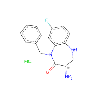 Cl.N[C@H]1CNc2ccc(F)cc2N(Cc2ccccc2)C1=O